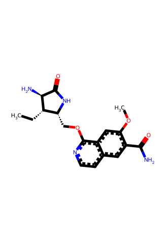 CC[C@H]1[C@@H](COc2nccc3cc(C(N)=O)c(OC)cc23)NC(=O)[C@@H]1N